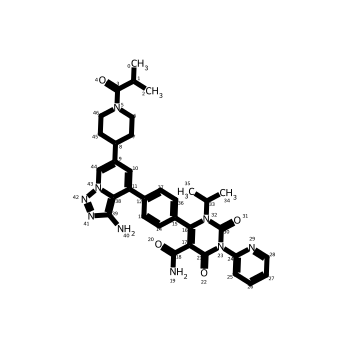 CC(C)C(=O)N1CCC(c2cc(-c3ccc(-c4c(C(N)=O)c(=O)n(-c5ccccn5)c(=O)n4C(C)C)cc3)c3c(N)nnn3c2)CC1